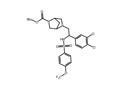 CC(C)(C)OC(=O)N1CC2CC1CN2CC(NS(=O)(=O)c1ccc(OC(F)(F)F)cc1)c1ccc(Cl)c(Cl)c1